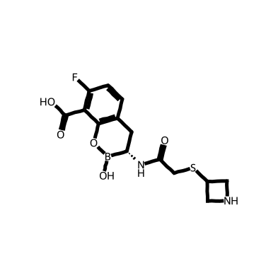 O=C(CSC1CNC1)N[C@H]1Cc2ccc(F)c(C(=O)O)c2OB1O